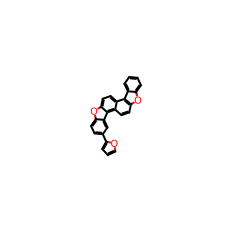 c1coc(-c2ccc3oc4ccc5c(ccc6oc7ccccc7c65)c4c3c2)c1